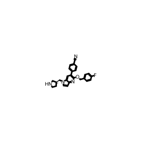 N#Cc1ccc(-c2cc3c(ccn3C[C@H]3CCNC3)nc2OCc2ccc(F)cc2)cc1